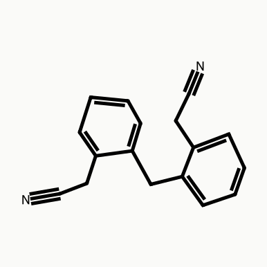 N#CCc1ccccc1Cc1ccccc1CC#N